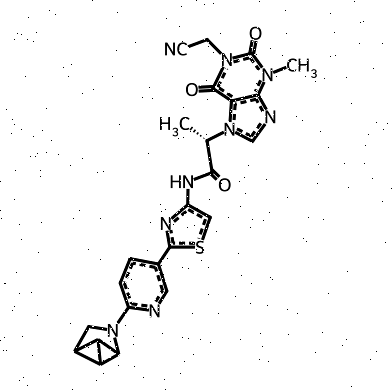 C[C@@H](C(=O)Nc1csc(-c2ccc(N3CC4C5C4C53)nc2)n1)n1cnc2c1c(=O)n(CC#N)c(=O)n2C